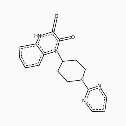 O=c1[nH]c2ccccc2n(C2CCN(c3ncccn3)CC2)c1=O